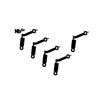 O=P[O-].O=P[O-].O=P[O-].O=P[O-].O=P[O-].[Nb+5]